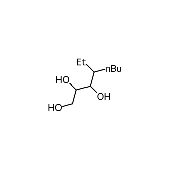 CCCCC(CC)C(O)C(O)CO